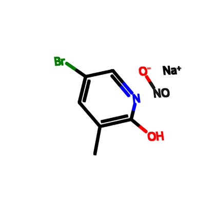 Cc1cc(Br)cnc1O.O=N[O-].[Na+]